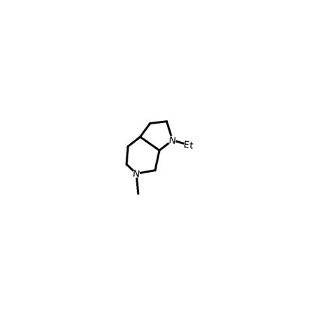 CCN1CCC2CCN(C)CC21